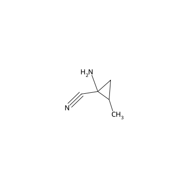 CC1CC1(N)C#N